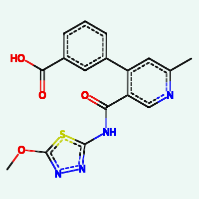 COc1nnc(NC(=O)c2cnc(C)cc2-c2cccc(C(=O)O)c2)s1